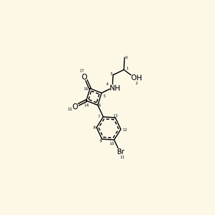 CC(O)CNc1c(-c2ccc(Br)cc2)c(=O)c1=O